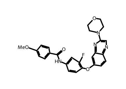 COc1ccc(C(=O)Nc2ccc(Oc3ccc4ncc(N5CCOCC5)nc4c3)c(F)c2)cc1